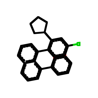 Clc1ccc(-c2cccc3cccc(-c4ccccc4)c23)c(C2CCCC2)c1